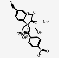 N#Cc1ccc([N+](CS(=O)(=O)O)(C(=O)C(Cl)Cl)[C@H](CO)[C@H](O)c2ccc([N+](=O)[O-])cc2)cc1.[Na+]